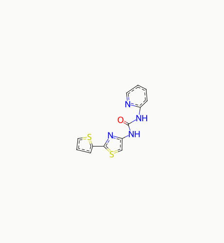 O=C(Nc1ccccn1)Nc1csc(-c2cccs2)n1